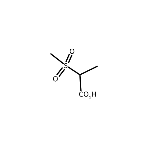 CC(C(=O)O)S(C)(=O)=O